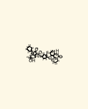 Cc1c(C(=O)Nc2ccc(Oc3ccnc4c3C3OCCCN3C(=O)N4)c(F)c2)c(=O)n(-c2ccccc2)n1CC(C)(C)O